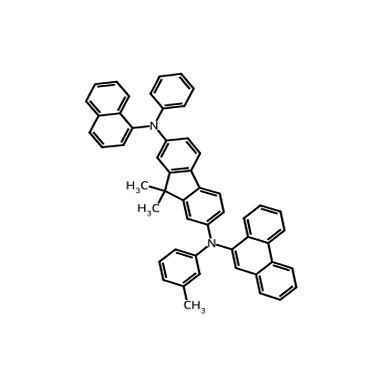 Cc1cccc(N(c2ccc3c(c2)C(C)(C)c2cc(N(c4ccccc4)c4cccc5ccccc45)ccc2-3)c2cc3ccccc3c3ccccc23)c1